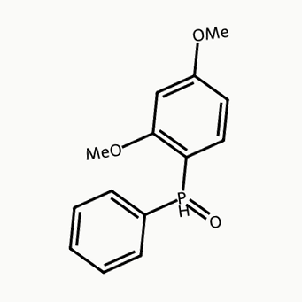 COc1ccc([PH](=O)c2ccccc2)c(OC)c1